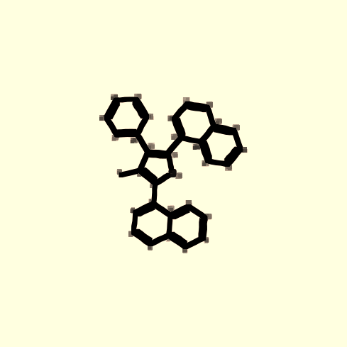 Cc1c(-c2cccc3ccccc23)oc(-c2cccc3ccccc23)c1-c1ccccc1